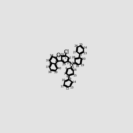 Clc1cc(N(c2ccc(-c3ccccc3)cc2)c2cccc(-c3ccccc3)c2)cc2c1oc1ccc3ccccc3c12